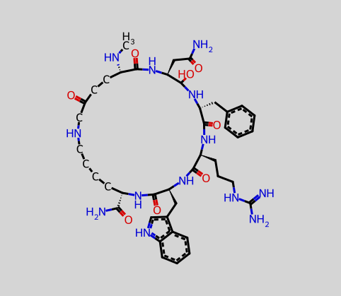 CN[C@H]1CCC(=O)CNCCCC[C@@H](C(N)=O)NC(=O)[C@H](Cc2c[nH]c3ccccc23)NC(=O)[C@H](CCCNC(=N)N)NC(=O)[C@@H](Cc2ccccc2)NC(O)[C@H](CC(N)=O)NC1=O